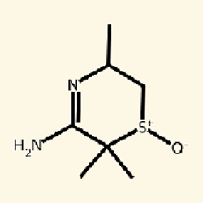 CC1C[S+]([O-])C(C)(C)C(N)=N1